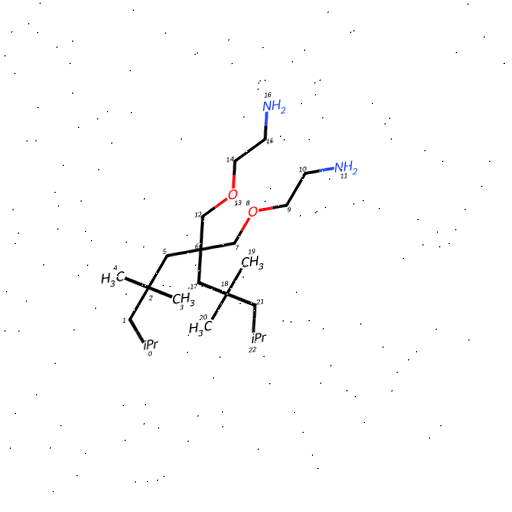 CC(C)CC(C)(C)CC(COCCN)(COCCN)CC(C)(C)CC(C)C